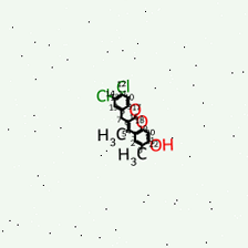 Cc1cc2c(C)c(Cc3ccc(Cl)c(Cl)c3)c(=O)oc2cc1O